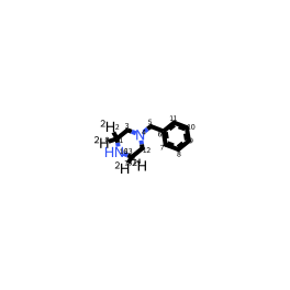 [2H]C1([2H])CN(Cc2ccccc2)CC([2H])([2H])N1